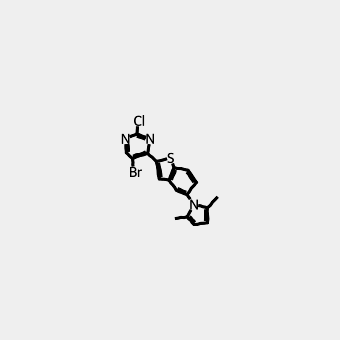 Cc1ccc(C)n1-c1ccc2sc(-c3nc(Cl)ncc3Br)cc2c1